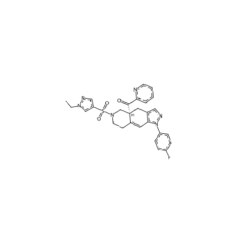 CCn1cc(S(=O)(=O)N2CCC3=Cc4c(cnn4-c4ccc(F)cc4)C[C@]3(C(=O)c3ccccn3)C2)cn1